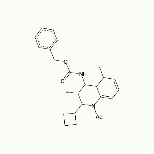 CC(=O)N1C2=CC=CC(C)C2C(NC(=O)OCc2ccccc2)[C@@H](C)C1C1CCC1